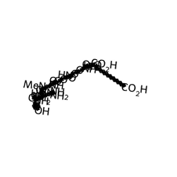 CN[C@@H](CCCCNC(=O)COCCOCCNC(=O)COCCOCCNC(=O)CC[C@H](NC(=O)CCCCCCCCCCCCCCCCC(=O)O)C(=O)O)C(=O)CN[C@@H](CCCNC(=N)N)CC(=O)N[C@@H](Cc1ccc(O)cc1)C(N)=O